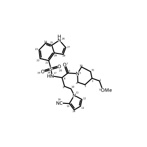 COCC1CCN(C(=O)C(CCn2cccc2C#N)NS(=O)(=O)c2cccc3[nH]ccc23)CC1